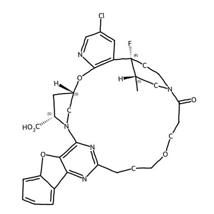 C[C@H]1CN2CC[C@]1(F)c1cc(Cl)cnc1O[C@H]1C[C@@H](C(=O)O)N(C1)c1nc(nc3c1oc1ccccc13)CCCOCCC2=O